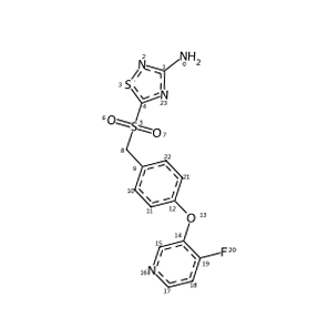 Nc1nsc(S(=O)(=O)Cc2ccc(Oc3cnccc3F)cc2)n1